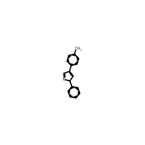 Cc1ccc(C2=CC(c3ccccc3)N=C2)cc1